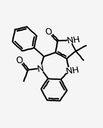 CC(=O)N1c2ccccc2NC2=C(C(=O)NC2(C)C)C1c1ccccc1